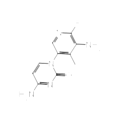 Cc1c(-n2ccc(N)nc2=O)cnc(F)c1N